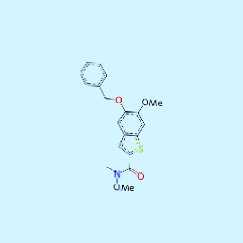 COc1cc2sc(C(=O)N(C)OC)cc2cc1OCc1ccccc1